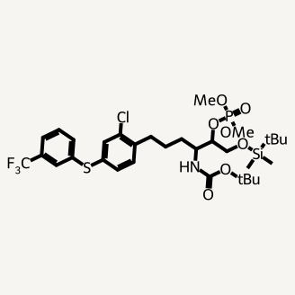 COP(=O)(OC)OC(CO[Si](C)(C)C(C)(C)C)C(CCCc1ccc(Sc2cccc(C(F)(F)F)c2)cc1Cl)NC(=O)OC(C)(C)C